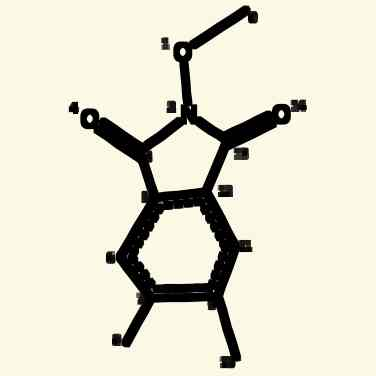 CON1C(=O)c2cc(C)c(C)cc2C1=O